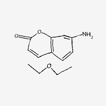 CCOCC.Nc1ccc2ccc(=O)oc2c1